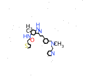 Cc1cc2[nH]nc(/C=C/c3cccc(CN(C)CCc4ccccn4)c3)c2cc1NC(=O)Cc1cccs1